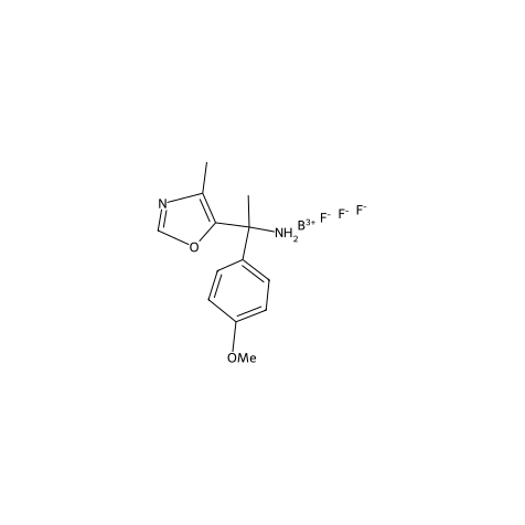 COc1ccc(C(C)(N)c2ocnc2C)cc1.[B+3].[F-].[F-].[F-]